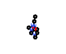 c1ccc(-c2ccc(-c3nc(-c4ccccc4)nc(-c4ccccc4-n4c5ccccc5c5c(-n6c7ccccc7c7ccccc76)cccc54)n3)cc2)cc1